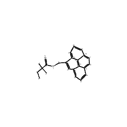 CCC(C)(C)C(=O)OCc1cc2cccc3ccc4cccc1c4c32